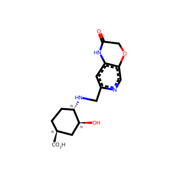 O=C1COc2cnc(CN[C@H]3CC[C@H](C(=O)O)C[C@@H]3O)cc2N1